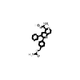 NC(=O)OCc1ccc(-c2nc3ccnc(C(N)=NO)c3cc2-c2ccccc2)cc1